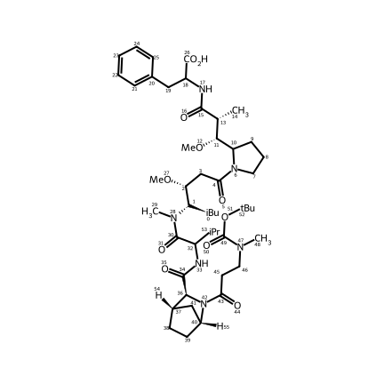 CC[C@H](C)[C@@H]([C@@H](CC(=O)N1CCCC1[C@H](OC)[C@@H](C)C(=O)NC(Cc1ccccc1)C(=O)O)OC)N(C)C(=O)C(NC(=O)[C@@H]1[C@H]2CC[C@H](C2)N1C(=O)CCN(C)C(=O)OC(C)(C)C)C(C)C